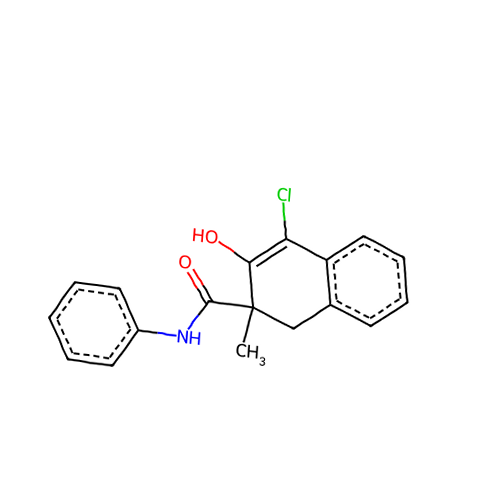 CC1(C(=O)Nc2ccccc2)Cc2ccccc2C(Cl)=C1O